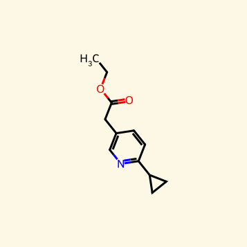 CCOC(=O)Cc1ccc(C2CC2)nc1